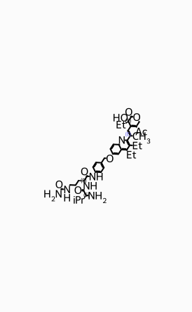 CCc1c(/C(C)=C/C2=C(C(C)=O)COC(=O)[C@]2(O)CC)nc2ccc(OCc3ccc(NC(=O)[C@H](CCCNC(N)=O)NC(=O)[C@@H](N)C(C)C)cc3)cc2c1CC